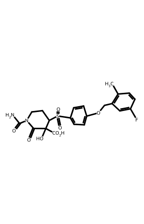 Cc1ccc(F)cc1COc1ccc(S(=O)(=O)C2CCN(C(N)=O)C(=O)C2(O)C(=O)O)cc1